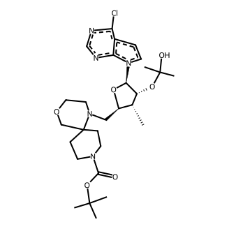 C[C@H]1[C@@H](OC(C)(C)O)[C@H](n2ccc3c(Cl)ncnc32)O[C@@H]1CN1CCOCC12CCN(C(=O)OC(C)(C)C)CC2